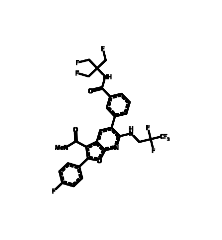 CNC(=O)c1c(-c2ccc(F)cc2)oc2nc(NCC(F)(F)C(F)(F)F)c(-c3cccc(C(=O)NC(CF)(CF)CF)c3)cc12